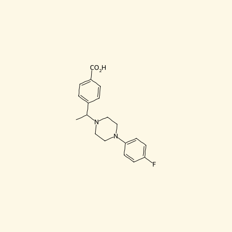 CC(c1ccc(C(=O)O)cc1)N1CCN(c2ccc(F)cc2)CC1